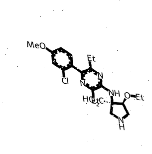 CCO[C@H]1CNC[C@]1(Nc1nc(CC)c(-c2ccc(OC)cc2Cl)nc1CC)C(=O)O